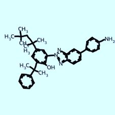 CC(C)(C)CC(C)(C)c1cc(-n2nc3ccc(-c4ccc(N)cc4)cc3n2)c(O)c(C(C)(C)c2ccccc2)c1